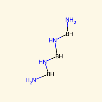 NBNBNBN